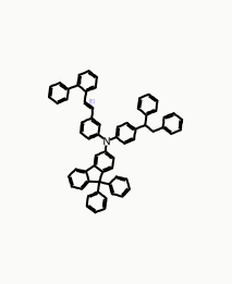 C(=C\c1ccccc1-c1ccccc1)/c1cccc(N(c2ccc(C(Cc3ccccc3)c3ccccc3)cc2)c2ccc3c(c2)-c2ccccc2C3(c2ccccc2)c2ccccc2)c1